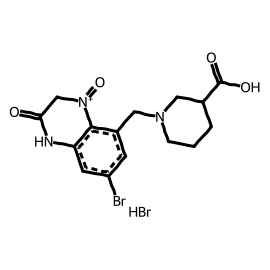 Br.O=C1C[N+](=O)c2c(CN3CCCC(C(=O)O)C3)cc(Br)cc2N1